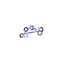 C1=CCC(CNCCCCN(Cc2cn(-c3ccccc3)nn2)C2CCCc3cccnc32)N=C1